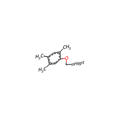 CCCCCCCCOc1cc(C)c(C)cc1C